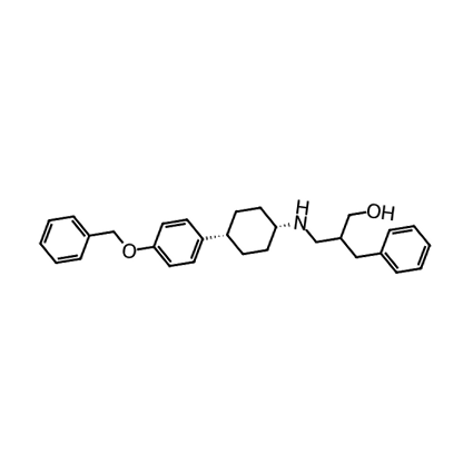 OCC(CN[C@H]1CC[C@@H](c2ccc(OCc3ccccc3)cc2)CC1)Cc1ccccc1